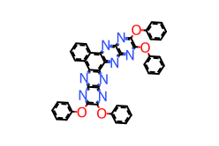 c1ccc(Oc2nc3nc4c5ccccc5c5nc6nc(Oc7ccccc7)c(Oc7ccccc7)nc6nc5c4nc3nc2Oc2ccccc2)cc1